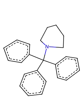 c1ccc(C(c2ccccc2)(c2ccccc2)N2CCCCC2)cc1